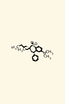 CCCC[C@@]1(CC)C[C@H](c2ccccc2)c2cc(N(C)C)ccc2S(=O)(=O)C1